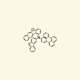 c1ccc(-c2cccc3cccc(-c4ccc(N(c5ccc6sc7ccccc7c6c5)c5cccc6oc7cc8ccccc8cc7c56)cc4)c23)cc1